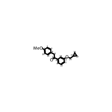 COc1ccc(CC(=O)c2cccc(OCC3CC3)c2)cc1